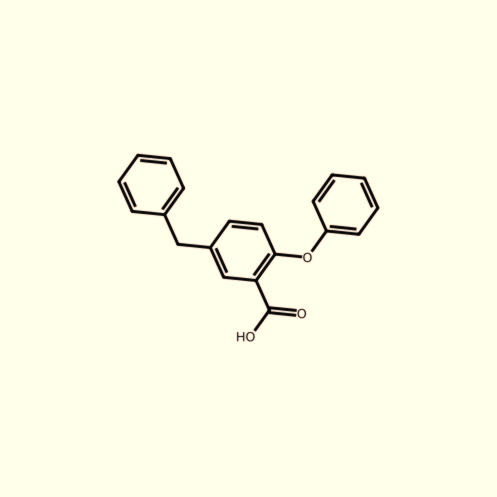 O=C(O)c1cc(Cc2ccccc2)ccc1Oc1ccccc1